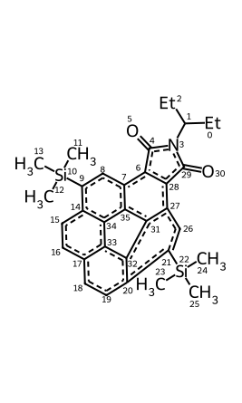 CCC(CC)n1c(=O)c2c3cc([Si](C)(C)C)c4ccc5ccc6c([Si](C)(C)C)cc(c2c1=O)c1c6c5c4c31